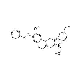 CCc1ccc2c(c1)c1c(n2CO)CN2CCc3cc(OCc4ccccc4)c(OC)cc3C2C1